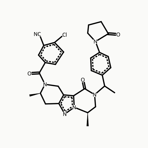 CC(c1ccc(N2CCCC2=O)cc1)N1C[C@@H](C)n2nc3c(c2C1=O)CN(C(=O)c1ccc(Cl)c(C#N)c1)[C@H](C)C3